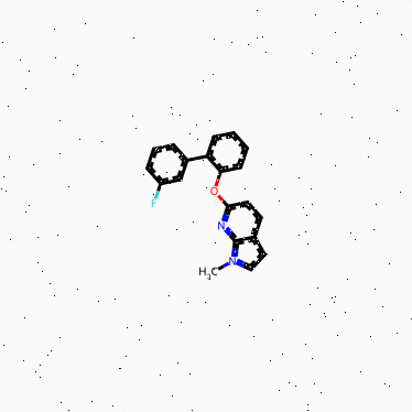 Cn1ccc2ccc(Oc3ccccc3-c3cccc(F)c3)nc21